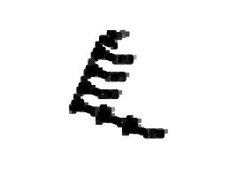 O=C([O-])n1ss1.O=C([O-])n1ss1.O=C([O-])n1ss1.O=C([O-])n1ss1.O=C([O-])n1ss1.O=C([O-])n1ss1.O=S.[Mo+6]